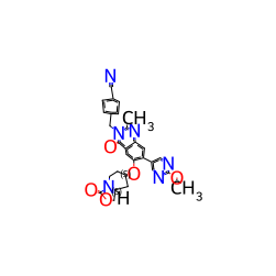 COc1ncc(-c2cc3nc(C)n(Cc4ccc(C#N)cc4)c(=O)c3cc2O[C@H]2CCN3C(=O)OC[C@@H]3C2)cn1